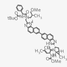 COC[C@@H](C)CN(Cc1nc2ccc3cc(-c4ccc5c(ccc6nc([C@@H]7C[C@H]8C(C)[C@H]8N7C(=O)[C@H](C=C(C)C)NC(=O)OC)[nH]c65)c4)ccc3c2n1I)C(=O)[C@H](NC(=O)OC(C)(C)C)c1ccccc1